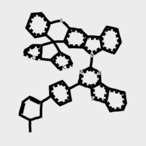 CC1C=CC=C(c2ccc(-c3nc(-n4c5ccccc5c5cc6c(cc54)C4(c5ccccc5S6)c5ccccc5-c5ccccc54)nc4c3sc3ccccc34)cc2)C1